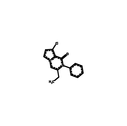 CCc1cn2ccc(Cl)c2c(=O)n1-c1ccccc1